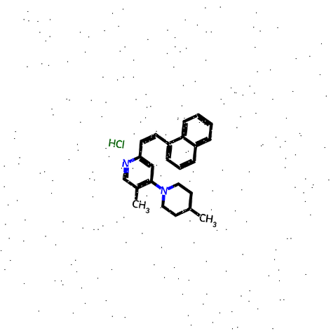 Cc1cnc(/C=C\c2cccc3ccccc23)cc1N1CCC(C)CC1.Cl